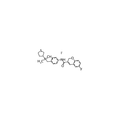 C[N+](C)(Cc1ccc(NC(=O)C2=Cc3cc(F)ccc3OC2)cc1)C1CCSC1.[I-]